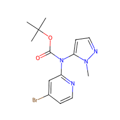 Cn1nccc1N(C(=O)OC(C)(C)C)c1cc(Br)ccn1